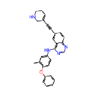 Cc1cc(Nc2ncnc3ccc(C#CC4=CCCNC4)cc23)ccc1Oc1ccccc1